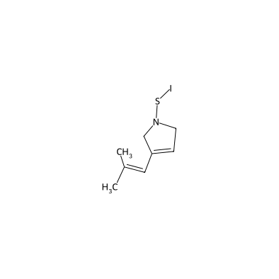 CC(C)=CC1=CCN(SI)C1